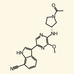 COc1nc(-c2c[nH]c3c(C#N)cccc23)cnc1N[C@@H]1CCN(C(C)=O)C1